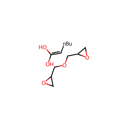 C(OCC1CO1)C1CO1.CCCCC=C(O)O